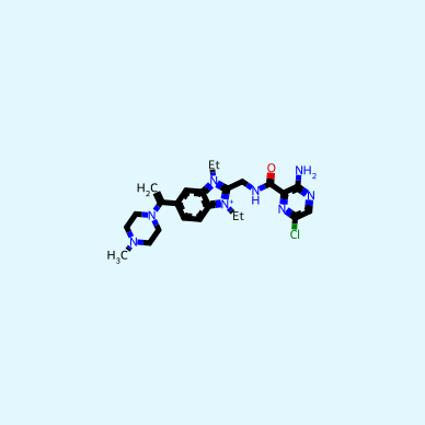 C=C(c1ccc2c(c1)n(CC)c(CNC(=O)c1nc(Cl)cnc1N)[n+]2CC)N1CCN(C)CC1